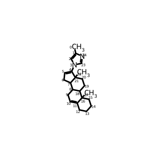 Cc1cn(C2=CCC3C4CC=C5CCCCC5(C)C4CCC23C)cn1